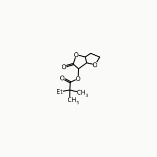 CCC(C)(C)C(=O)OC1C(=O)OC2CCOC21